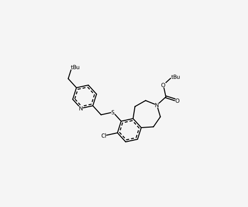 CC(C)(C)Cc1ccc(CSc2c(Cl)ccc3c2CCN(C(=O)OC(C)(C)C)CC3)nc1